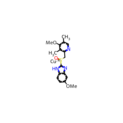 COc1ccc2[nH]c([S@@](=O)Cc3ncc(C)c(OC)c3C)nc2c1.[Cu]